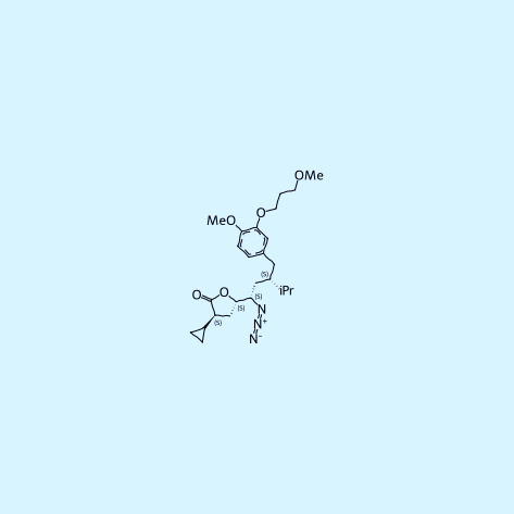 COCCCOc1cc(C[C@@H](C[C@H](N=[N+]=[N-])[C@@H]2C[C@@H](C3CC3)C(=O)O2)C(C)C)ccc1OC